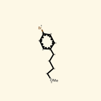 COCCCCc1ccc(Br)cc1